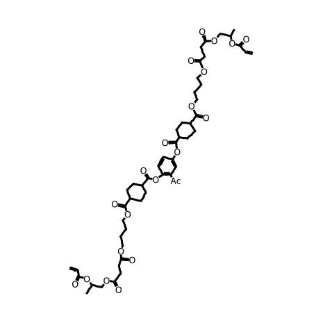 C=CC(=O)OC(C)COC(=O)CCC(=O)OCCCCOC(=O)C1CCC(C(=O)Oc2ccc(OC(=O)C3CCC(C(=O)OCCCCOC(=O)CCC(=O)OCC(C)OC(=O)C=C)CC3)c(C(C)=O)c2)CC1